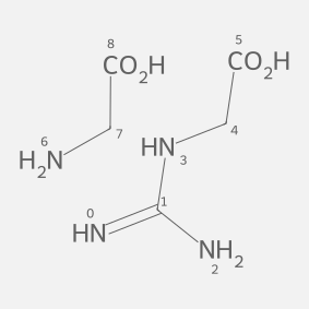 N=C(N)NCC(=O)O.NCC(=O)O